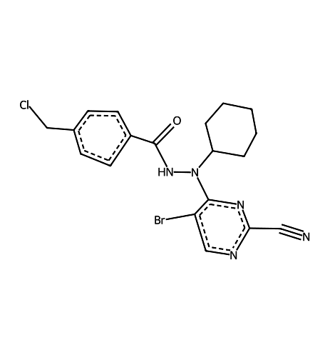 N#Cc1ncc(Br)c(N(NC(=O)c2ccc(CCl)cc2)C2CCCCC2)n1